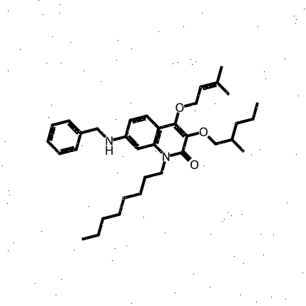 CCCCCCCCn1c(=O)c(OCC(C)CCC)c(OCC=C(C)C)c2ccc(NCc3ccccc3)cc21